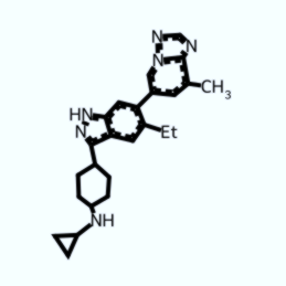 CCc1cc2c(C3CCC(NC4CC4)CC3)n[nH]c2cc1-c1cc(C)c2ncnn2c1